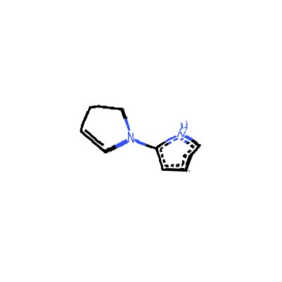 [c]1c[nH]c(N2C=CCC2)c1